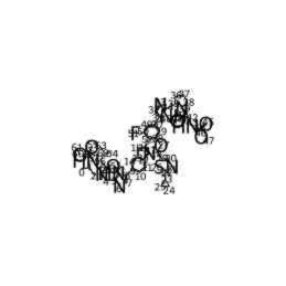 CCCN(Cc1ncc(-c2ccc3c(c2)cc2n3C(c3cnc(C4CC4)s3)Oc3cc(-c4cnc(C5CCCN5C(=O)CNC(=O)OC)[nH]4)cc(F)c3-2)[nH]1)C(=O)C(NC(=O)OC)C(C)C